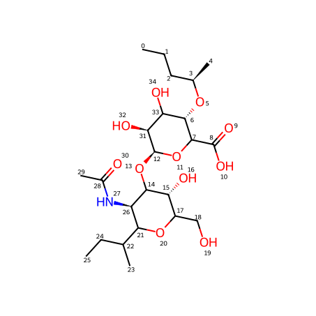 CCC[C@@H](C)O[C@@H]1C(C(=O)O)O[C@@H](OC2[C@H](O)C(CO)OC(C(C)CC)[C@H]2NC(C)=O)[C@@H](O)C1O